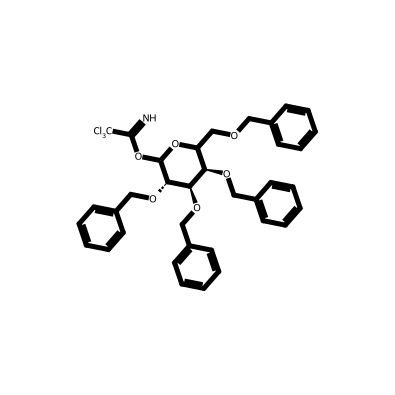 N=C(OC1OC(COCc2ccccc2)[C@@H](OCc2ccccc2)[C@@H](OCc2ccccc2)[C@@H]1OCc1ccccc1)C(Cl)(Cl)Cl